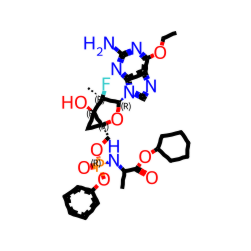 CCOc1nc(N)nc2c1ncn2[C@@H]1O[C@@]2(CO[P@](=O)(NC(C)C(=O)OC3CCCCC3)Oc3ccccc3)C[C@]2(O)[C@@]1(C)F